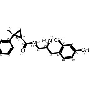 C[C@@]1(c2ccccc2)C[C@H]1C(=O)NCC(N)Cc1ccc(O)cc1Cl